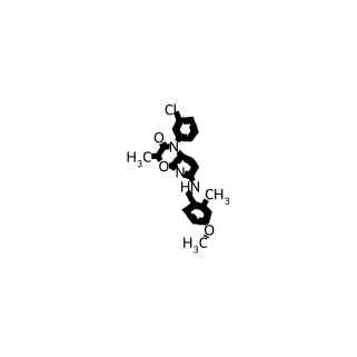 COc1ccc(CNc2ccc3c(n2)OC(C)C(=O)N3c2cccc(Cl)c2)c(C)c1